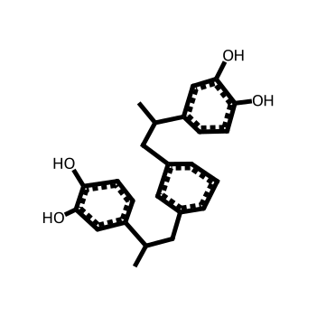 CC(Cc1cccc(CC(C)c2ccc(O)c(O)c2)c1)c1ccc(O)c(O)c1